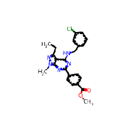 CCc1nn(C)c2nc(-c3ccc(C(=O)OC)cc3)nc(NCc3cccc(Cl)c3)c12